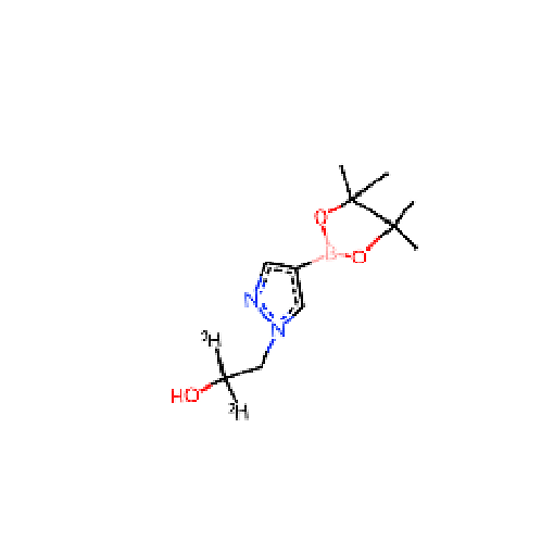 [2H]C([2H])(O)Cn1cc(B2OC(C)(C)C(C)(C)O2)cn1